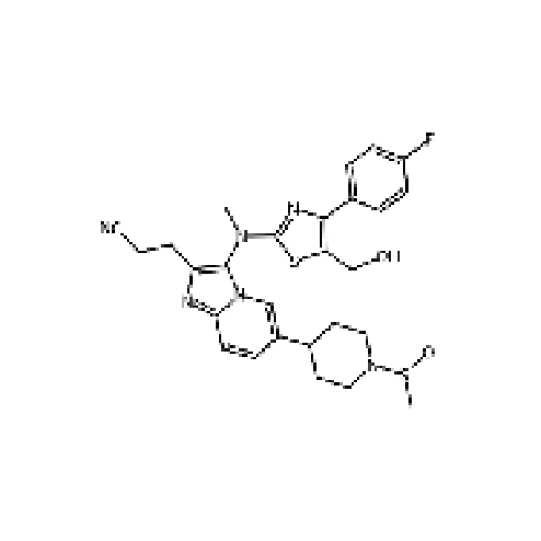 CN(c1nc(-c2ccc(F)cc2)c(CO)s1)c1c(CCC#N)nc2ccc(C3CCN([S+](C)[O-])CC3)cn12